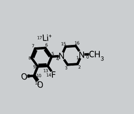 CN1CCN(c2cccc(C(=O)[O-])c2F)CC1.[Li+]